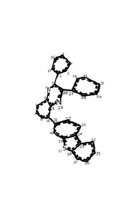 c1ccc(-c2nc3cccc(-c4ccc5c(c4)sc4ccccc45)c3nc2-c2ccccc2)cc1